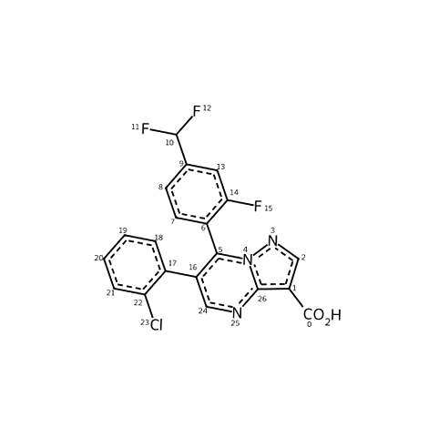 O=C(O)c1cnn2c(-c3ccc(C(F)F)cc3F)c(-c3ccccc3Cl)cnc12